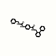 O=C(NCc1cccnc1)Nc1ccc(C(=O)NCc2ccccc2-c2ccccc2)cc1